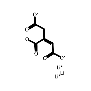 O=C([O-])C=C(CC(=O)[O-])C(=O)[O-].[Li+].[Li+].[Li+]